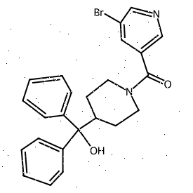 O=C(c1cncc(Br)c1)N1CCC(C(O)(c2ccccc2)c2ccccc2)CC1